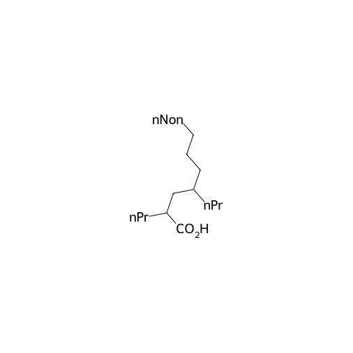 CCCCCCCCCCCCC(CCC)CC(CCC)C(=O)O